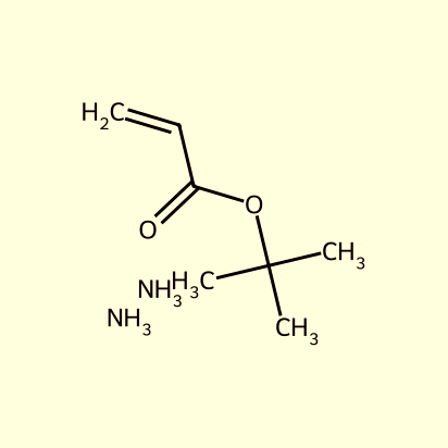 C=CC(=O)OC(C)(C)C.N.N